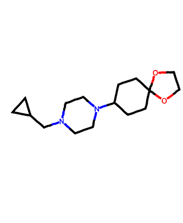 C1COC2(CCC(N3CCN(CC4CC4)CC3)CC2)O1